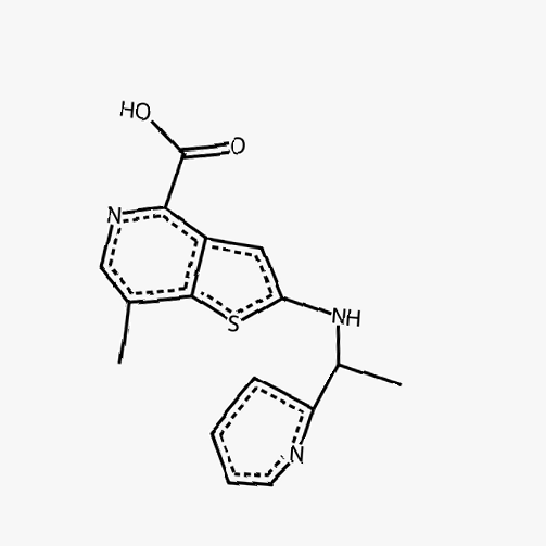 Cc1cnc(C(=O)O)c2cc(NC(C)c3ccccn3)sc12